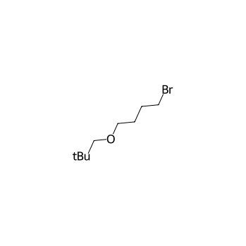 CC(C)(C)COCCCCBr